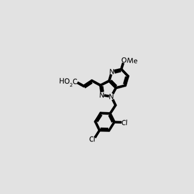 COc1ccc2c(n1)c(C=CC(=O)O)nn2Cc1ccc(Cl)cc1Cl